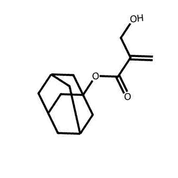 C=C(CO)C(=O)OC12CC3CC(CC(C3)C1)C2